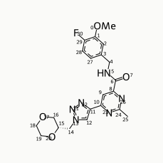 COc1cc(CNC(=O)c2cc(-c3cn(C[C@H]4COCCO4)nn3)nc(C)n2)ccc1F